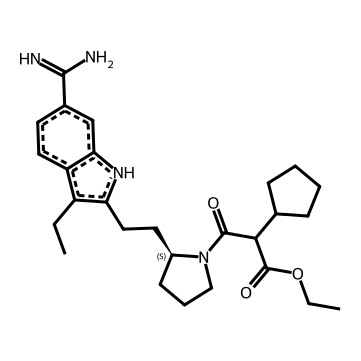 CCOC(=O)C(C(=O)N1CCC[C@H]1CCc1[nH]c2cc(C(=N)N)ccc2c1CC)C1CCCC1